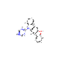 c1ccc2c(c1)oc1cc3c4ccccc4n(-c4ncncn4)c3cc12